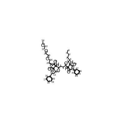 CCCCCC1OC(CCC2OC(CCc3ccccc3)[C@@H]3C(=O)N(CCOCCOCCOC)C(=O)[C@H]23)[C@@H]2C(=O)N(c3ccccc3)C(=O)[C@H]12